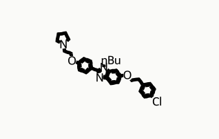 CCCCn1c(-c2ccc(OCCN3CCCC3)cc2)nc2ccc(OCCc3ccc(Cl)cc3)cc21